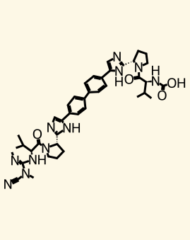 C/N=C(\N[C@H](C(=O)N1CCC[C@H]1c1ncc(-c2ccc(-c3ccc(-c4cnc([C@@H]5CCCN5C(=O)[C@@H](NC(=O)O)C(C)C)[nH]4)cc3)cc2)[nH]1)C(C)C)N(C)C#N